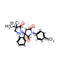 CC1(C)CN2c3ccccc3C3(CC(=O)N(c4ccc([N+](=O)[O-])cc4)C3=O)N2C1=O